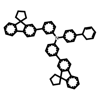 C1=CCC(c2ccc(N(c3cccc(-c4ccc5c(c4)C4(CCCC4)c4ccccc4-5)c3)c3cccc(-c4ccc5c(c4)C4(CCCC4)c4ccccc4-5)c3)cc2)C=C1